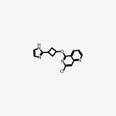 Clc1cc2ncccc2c(OC2CC(c3ncc[nH]3)C2)n1